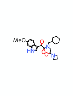 COc1ccc2c(C(=O)C(=O)N(CC(=O)N3CCC3)CC3CCCCC3)c[nH]c2c1